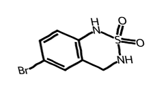 O=S1(=O)NCc2cc(Br)ccc2N1